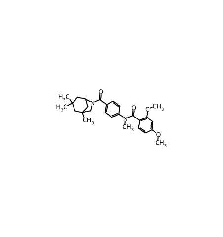 COc1ccc(C(=O)N(C)c2ccc(C(=O)N3CC4(C)CC3CC(C)(C)C4)cc2)c(OC)c1